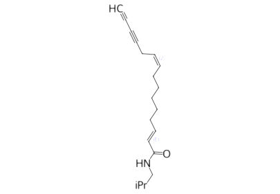 C#CC#CC/C=C\CCCCC/C=C/C(=O)NCC(C)C